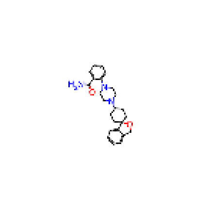 NC(=O)c1ccccc1N1CCN(C2CCC3(CC2)OCc2ccccc23)CC1